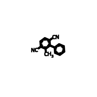 Cc1c(C#N)ccc(C#N)c1-c1ccccc1